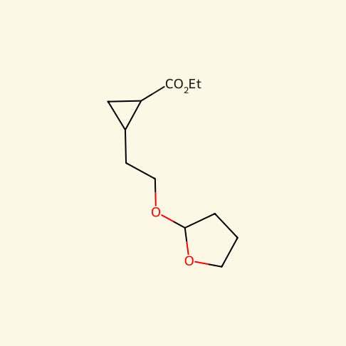 CCOC(=O)C1CC1CCOC1CCCO1